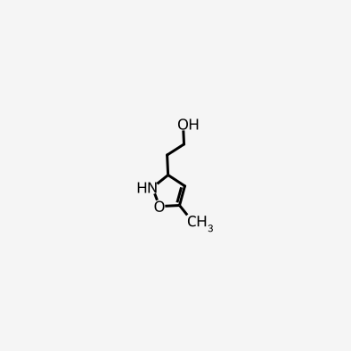 CC1=CC(CCO)NO1